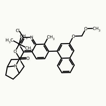 COCOc1cc(-c2ccc3c(N4CC5CCC(C4)N5C(=O)OC(C)(C)C)nc(Cl)nc3c2C)c2ccccc2c1